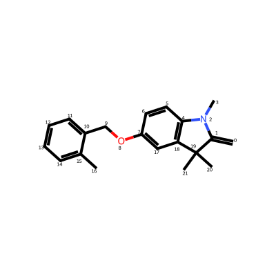 C=C1N(C)c2ccc(OCc3ccccc3C)cc2C1(C)C